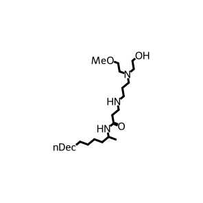 CCCCCCCCCCCCCCC(C)NC(=O)CCNCCCN(CCO)CCOC